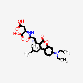 CCN(CC)c1ccc2c(CC(C)C)c(/C=C/C(=O)NC(CC(=O)O)C(=O)O)c(=O)oc2c1